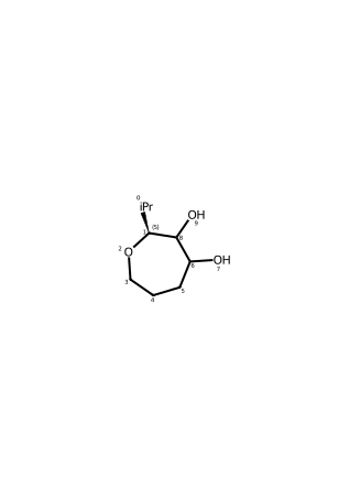 CC(C)[C@@H]1OCCCC(O)C1O